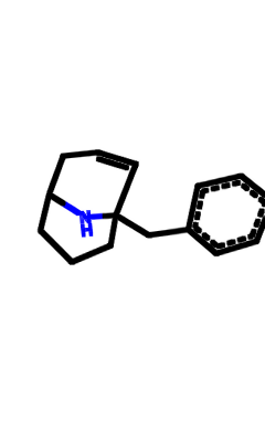 C1=CC2(Cc3ccccc3)CCCC(C1)N2